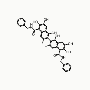 Cc1cc2c(C(=O)NCc3ccccc3)c(O)c(O)cc2c(O)c1-c1c(C)cc2c(C(=O)NCc3ccccc3)c(O)c(O)cc2c1O